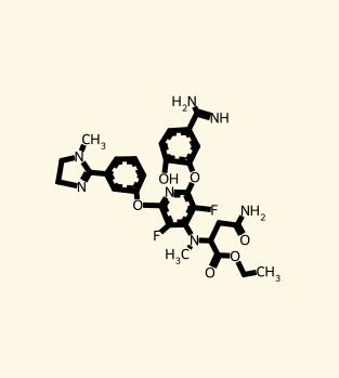 CCOC(=O)C(CC(N)=O)N(C)c1c(F)c(Oc2cccc(C3=NCCN3C)c2)nc(Oc2cc(C(=N)N)ccc2O)c1F